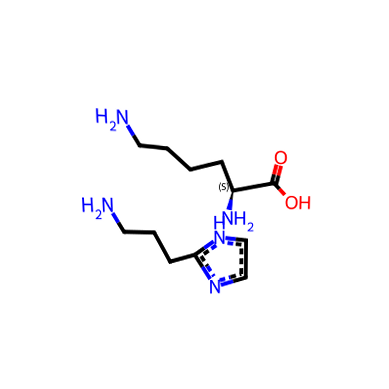 NCCCC[C@H](N)C(=O)O.NCCCc1ncc[nH]1